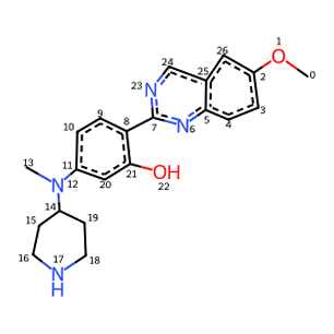 COc1ccc2nc(-c3ccc(N(C)C4CCNCC4)cc3O)ncc2c1